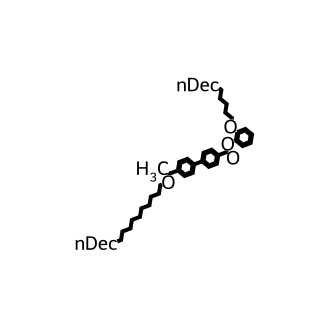 CCCCCCCCCCCCCCCCCCCCOC(C)c1ccc(-c2ccc(C(=O)Oc3ccccc3OCCCCCCCCCCCCCCC)cc2)cc1